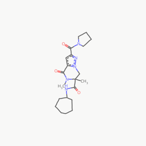 CN1C(=O)c2cc(C(=O)N3CCCC3)nn2CC1(C)C(=O)NC1CCCCCC1